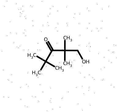 CC(C)(C)C(=O)C(C)(C)CO